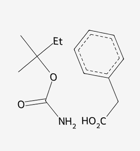 CCC(C)(C)OC(N)=O.O=C(O)Cc1ccccc1